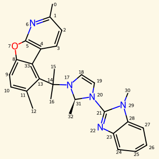 Cc1ccc2c(n1)oc1ccc(C)c(C(C)(C)N3C=CN(c4nc5ccccc5n4C)[C@H]3C)c12